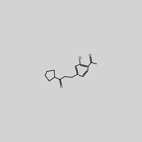 CC(=O)c1ccc(CCC(=O)C2CCCC2)cc1Cl